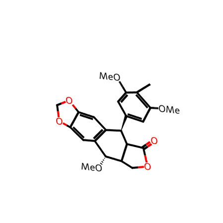 COc1cc([C@@H]2c3cc4c(cc3[C@@H](OC)C3COC(=O)C32)OCO4)cc(OC)c1C